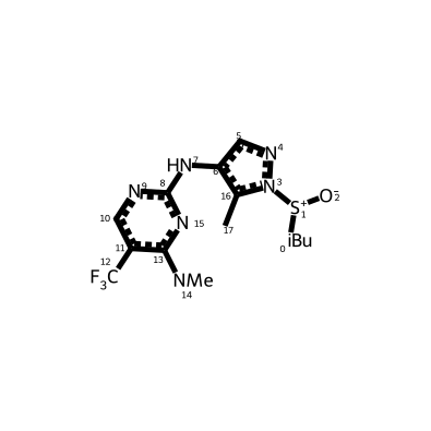 CCC(C)[S+]([O-])n1ncc(Nc2ncc(C(F)(F)F)c(NC)n2)c1C